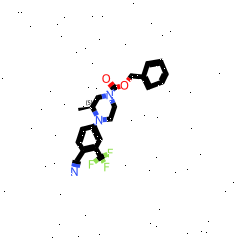 C[C@H]1CN(C(=O)OCc2ccccc2)CCN1c1ccc(C#N)c(C(F)(F)F)c1